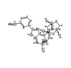 COc1cccc(-c2nc3c(N4C[C@H]5CC[C@@H](C4)N5C(=O)OC(C)(C)C)nc(Cl)nc3o2)c1